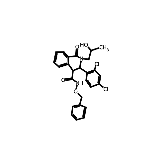 CC(O)CN1C(=O)c2ccccc2C(C(=O)NOCc2ccccc2)C1c1ccc(Cl)cc1Cl